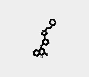 O=c1cc(Oc2cccc(-c3cnn(CCN4CCOCC4)c3)c2)c2ccccc2[nH]1